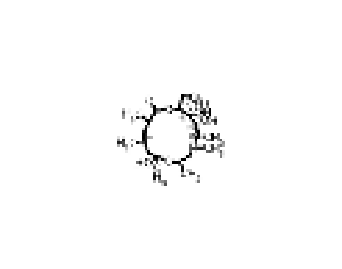 CCC1OC(=O)C(C)C[C@@H](C)CC(C)(O)CC(C)CN(C)[C@H](C)[C@@H](O)[C@]1(C)O